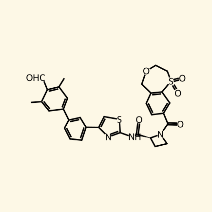 Cc1cc(-c2cccc(-c3csc(NC(=O)[C@@H]4CCN4C(=O)c4ccc5c(c4)S(=O)(=O)CCOC5)n3)c2)cc(C)c1C=O